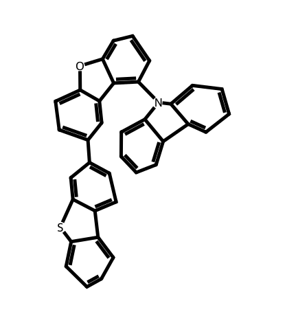 c1cc(-n2c3ccccc3c3ccccc32)c2c(c1)oc1ccc(-c3ccc4c(c3)sc3ccccc34)cc12